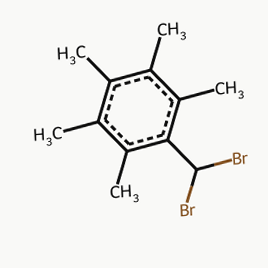 Cc1c(C)c(C)c(C(Br)Br)c(C)c1C